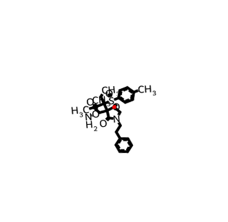 CCC(C(=O)ON)(C1(CC(C)C)CCN(CCc2ccccc2)C1=O)S(=O)(=O)c1ccc(C)cc1